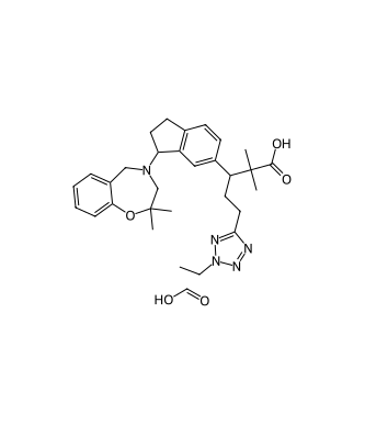 CCn1nnc(CCC(c2ccc3c(c2)C(N2Cc4ccccc4OC(C)(C)C2)CC3)C(C)(C)C(=O)O)n1.O=CO